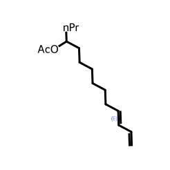 C=C/C=C/CCCCCCC(CCC)OC(C)=O